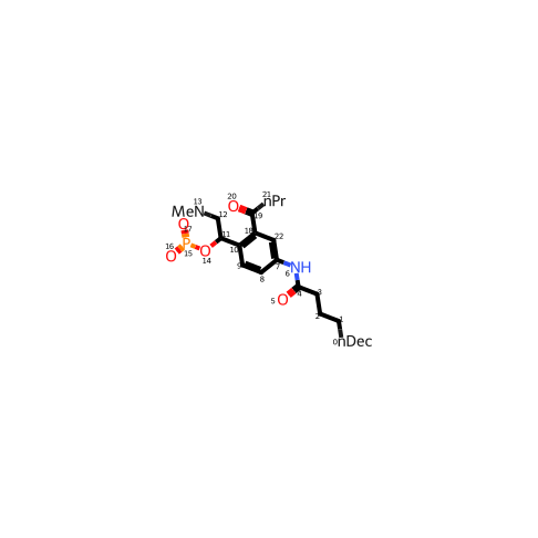 CCCCCCCCCCCCCC(=O)Nc1ccc(C(CNC)OP(=O)=O)c(C(=O)CCC)c1